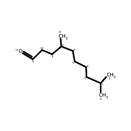 CC(C)CCCCC(C)CCC=O